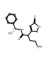 CCCCCCCCCCCCC(C(=O)N[C@H](C)c1ccccc1)C1=CC(=O)OC1